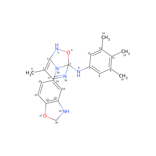 CC1=C2NOC(Nc3cc(C)c(C)c(C)c3)(N=C1)N2c1ccc2c(c1)NCO2